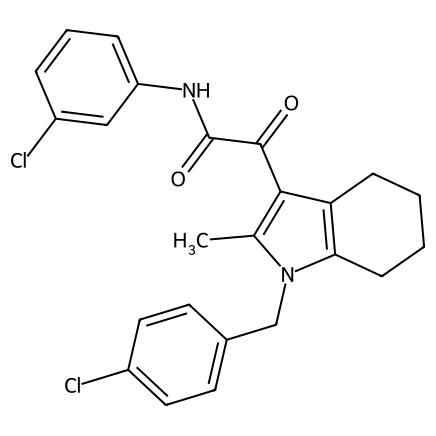 Cc1c(C(=O)C(=O)Nc2cccc(Cl)c2)c2c(n1Cc1ccc(Cl)cc1)CCCC2